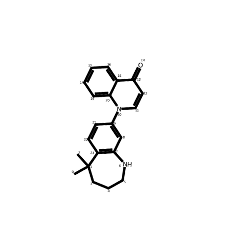 CC1(C)CCCNc2cc(-n3ccc(=O)c4ccccc43)ccc21